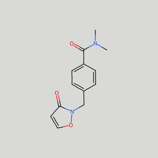 CN(C)C(=O)c1ccc(Cn2occc2=O)cc1